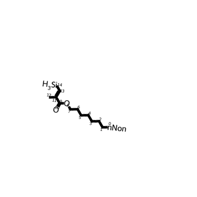 CCCCCCCCCCCCCCCCOC(=O)C(C)=C[SiH3]